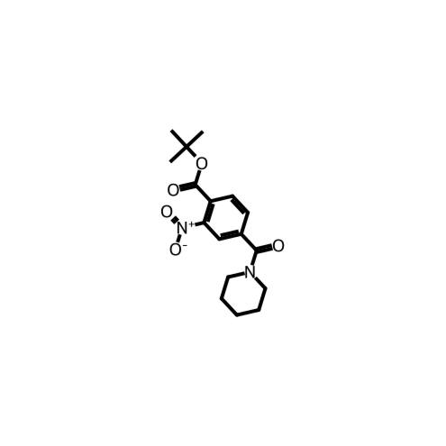 CC(C)(C)OC(=O)c1ccc(C(=O)N2CCCCC2)cc1[N+](=O)[O-]